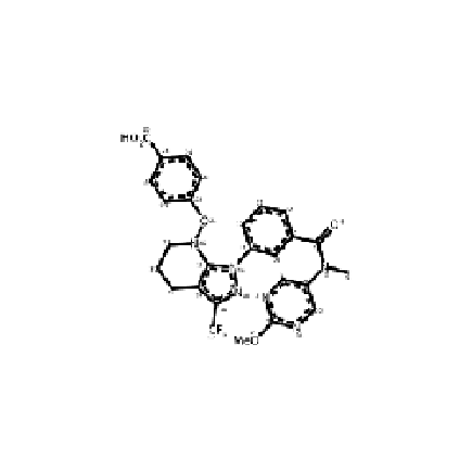 COc1ncc(N(C)C(=O)c2cccc(-n3nc(C(F)(F)F)c4c3N(Oc3ccc(C(=O)O)cc3)CCC4)c2)cn1